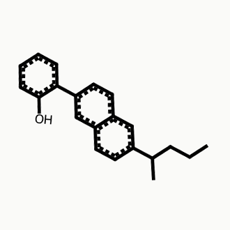 CCCC(C)c1ccc2cc(-c3ccccc3O)ccc2c1